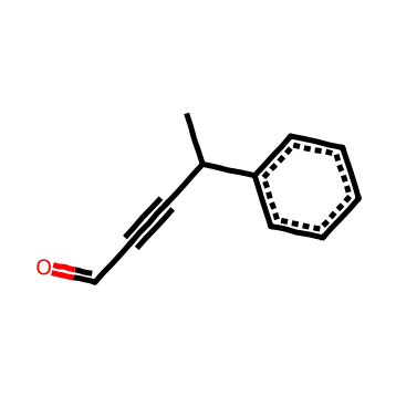 CC(C#CC=O)c1ccccc1